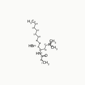 Br.C=CC(=O)NC(CCCCCCCCC)CCN(C)C